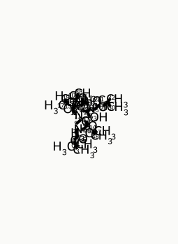 CC(C)(C)OC(=O)CN(CCN(CC(=O)OC(C)(C)C)CC(CO)N(CC(=O)OC(C)(C)C)CC(=O)OC(C)(C)C)CC(=O)OC(C)(C)C